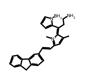 Bn1cccc1/C(CCN)=C1/C(C)=CC(/C=C/c2ccc3c(c2)-c2ccccc2C3)=[N+]1C